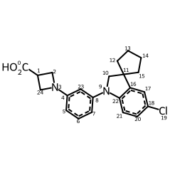 O=C(O)C1CN(c2cccc(N3CC4(CCCC4)c4cc(Cl)ccc43)c2)C1